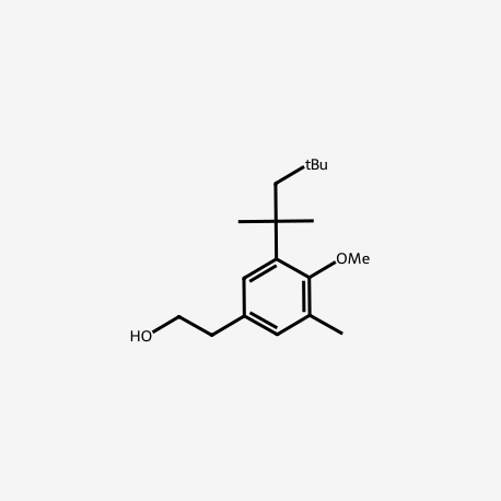 COc1c(C)cc(CCO)cc1C(C)(C)CC(C)(C)C